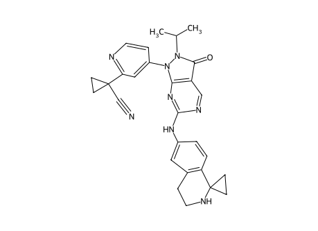 CC(C)n1c(=O)c2cnc(Nc3ccc4c(c3)CCNC43CC3)nc2n1-c1ccnc(C2(C#N)CC2)c1